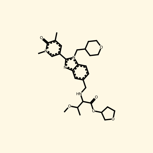 COC(C)C(NCc1ccc2c(c1)nc(-c1cc(C)c(=O)n(C)c1)n2CC1CCOCC1)C(=O)OC1CCOC1